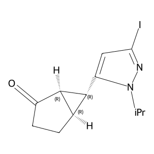 CC(C)n1nc(I)cc1[C@@H]1[C@H]2CCC(=O)[C@H]21